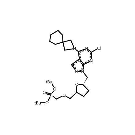 CC(C)(C)OP(=O)(COC[C@@H]1CC[C@@H](Cn2ncc3c(N4CC5(CCCCC5)C4)nc(Cl)nc32)O1)OC(C)(C)C